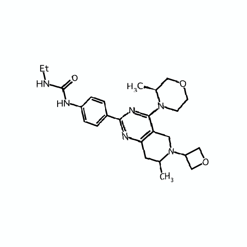 CCNC(=O)Nc1ccc(-c2nc3c(c(N4CCOC[C@@H]4C)n2)CN(C2COC2)C(C)C3)cc1